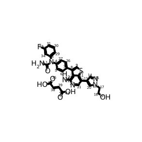 NC(=O)N(c1ccc(-c2csc3c(-c4cnn(CCO)c4)cnc(N)c23)cc1)c1cccc(F)c1.O=C(O)C=CC(=O)O